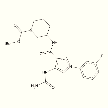 CC(C)(C)OC(=O)N1CCCC(NC(=O)c2cn(-c3cccc(F)c3)cc2NC(N)=O)C1